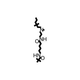 CCCC(C)(C)CCN(C)CCCNC(=O)CCCCCNC(=O)C(C)(C)C